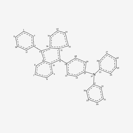 c1ccc(-c2c3ccccc3c(-c3ccc(N(c4ccccc4)c4ccccc4)cc3)c3ccccc23)cc1